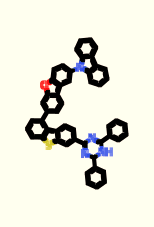 c1ccc(C2=NC(c3ccc4c(c3)sc3cccc(-c5ccc6c(c5)oc5ccc(-n7c8ccccc8c8ccccc87)cc56)c34)=NC(c3ccccc3)N2)cc1